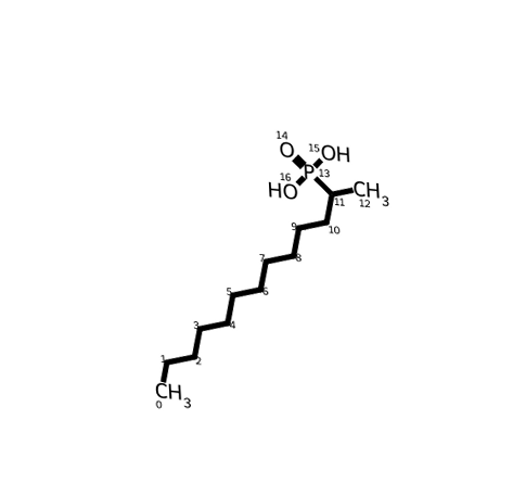 CCCCCCCCC[CH]CC(C)P(=O)(O)O